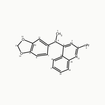 CCCc1nc(N(C)c2ccc3c(c2)OCO3)c2ccccc2n1